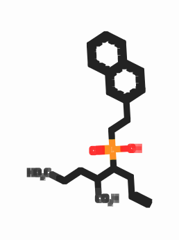 C=CCC(C(CCC(=O)O)C(=O)O)P(=O)(O)CCc1ccc2ccccc2c1